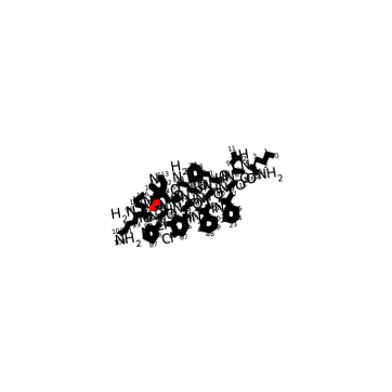 CCCC[C@H](NC(=O)[C@H](CC(C)C)NC(=O)[C@@H](Cc1c[nH]c2ccccc12)NC(=O)[C@H](Cc1ccccc1)NC(=O)[C@@H](Cc1c[nH]c2ccccc12)NC(=O)[C@H](CC(N)=O)NC(=O)[C@@H](Cc1ccc(Cl)c(Cl)c1)NC(=O)[C@@H]1CCCN1C(=O)[C@H](Cc1cccnc1)NC(=O)[C@]1(C(=O)[C@H](N)CCCCN)CCCN1C(=O)c1cccnc1)C(N)=O